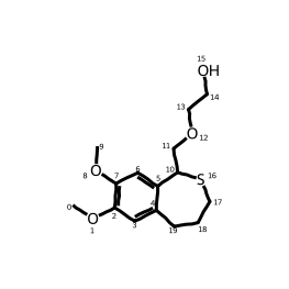 COc1cc2c(cc1OC)C(COCCO)SCCC2